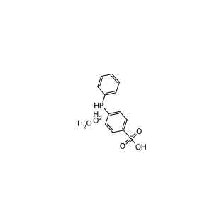 O.O.O=S(=O)(O)c1ccc(Pc2ccccc2)cc1